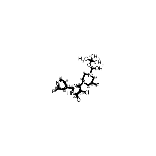 CC(C)(C)OC(O)N1CCN(c2nc(-c3ccnc(F)c3)[nH]c(=O)c2Cl)CC(F)C1